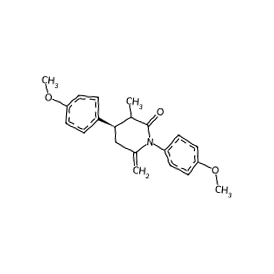 C=C1C[C@@H](c2ccc(OC)cc2)C(C)C(=O)N1c1ccc(OC)cc1